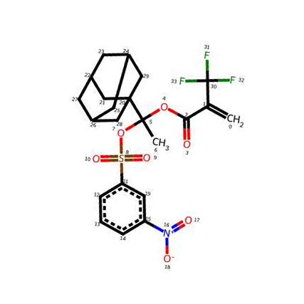 C=C(C(=O)OC(C)(OS(=O)(=O)c1cccc([N+](=O)[O-])c1)C12CC3CC(CC(C3)C1)C2)C(F)(F)F